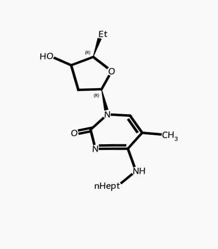 CCCCCCCNc1nc(=O)n([C@H]2CC(O)[C@@H](CC)O2)cc1C